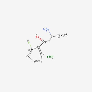 Cl.NC(CC(=O)c1ccccc1F)C(=O)O